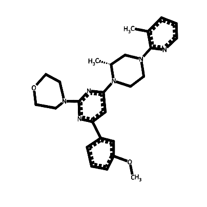 COc1cccc(-c2cc(N3CCN(c4ncccc4C)C[C@H]3C)nc(N3CCOCC3)n2)c1